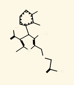 CCOC(=O)C1=C(CSCC(=O)OC)NC(C)=C(C(=O)OC)C1c1cccc(Cl)c1Cl